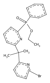 CCOP(=O)(c1ccccc1)c1cccc(C(C)(C)c2cccc(Br)n2)n1